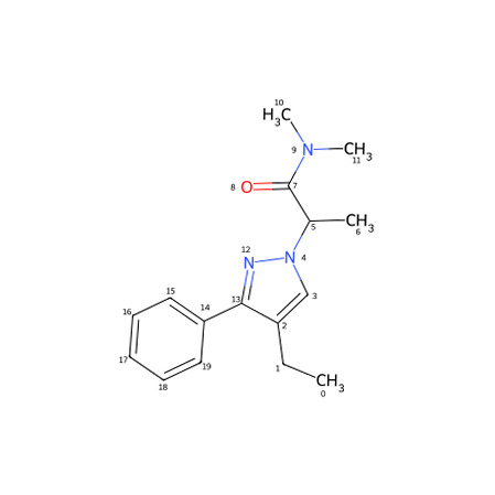 CCc1cn(C(C)C(=O)N(C)C)nc1-c1ccccc1